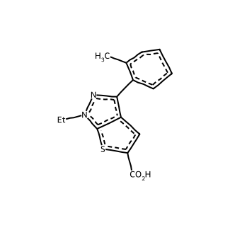 CCn1nc(-c2ccccc2C)c2cc(C(=O)O)sc21